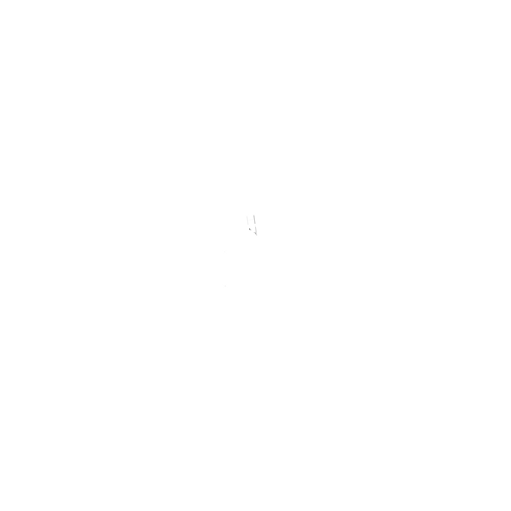 C#CC[PH](NC(=O)c1ccccc1)(c1ccccc1)c1ccccc1